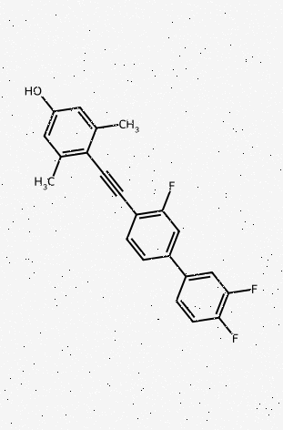 Cc1cc(O)cc(C)c1C#Cc1ccc(-c2ccc(F)c(F)c2)cc1F